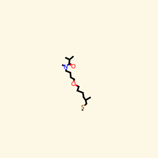 CSCC(C)CCCCOCCCCN(C)C(=O)C(C)C